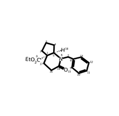 CCOC(=O)[C@]12CCC[C@H]1N(Cc1ccccc1)C(=O)CC2